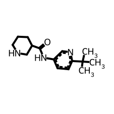 CC(C)(C)c1ccc(NC(=O)C2CCCNC2)cn1